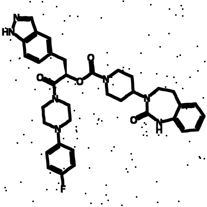 O=C(O[C@H](Cc1ccc2[nH]ncc2c1)C(=O)N1CCN(c2ccc(F)cc2)CC1)N1CCC(N2CCc3ccccc3NC2=O)CC1